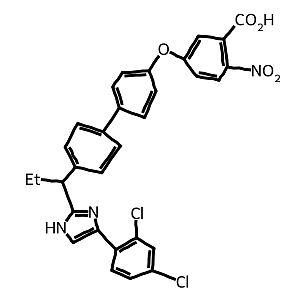 CCC(c1ccc(-c2ccc(Oc3ccc([N+](=O)[O-])c(C(=O)O)c3)cc2)cc1)c1nc(-c2ccc(Cl)cc2Cl)c[nH]1